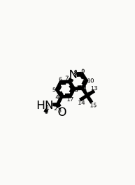 CNC(=O)c1ccc2nccc(C(C)(C)C)c2c1